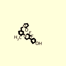 Cc1ccc(CN2CCCC2=O)cc1N1CCC(c2ccc(O)cc2)C(F)(F)C1